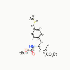 CCOC(=O)[C@@H](C)CC(Cc1ccc(CSC(C)=O)cc1)NC(=O)OC(C)(C)C